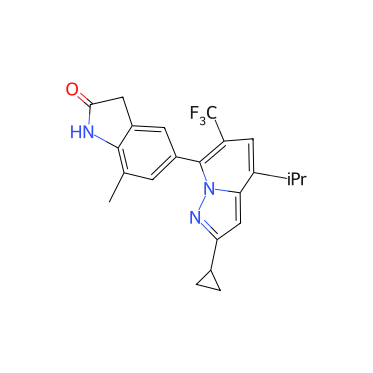 Cc1cc(-c2c(C(F)(F)F)cc(C(C)C)c3cc(C4CC4)nn23)cc2c1NC(=O)C2